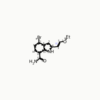 CCO/C=C/c1cc2c(Br)ccc(C(N)=O)c2[nH]1